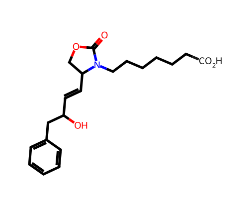 O=C(O)CCCCCCN1C(=O)OCC1C=CC(O)Cc1ccccc1